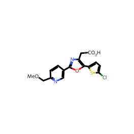 COCc1ccc(-c2nc(CC(=O)O)c(-c3ccc(Cl)s3)o2)cn1